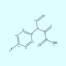 C=C(C(=O)O)C(C=O)c1ccc(F)cc1